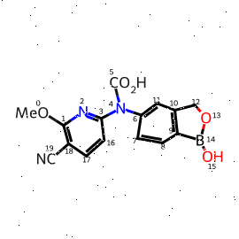 COc1nc(N(C(=O)O)c2ccc3c(c2)COB3O)ccc1C#N